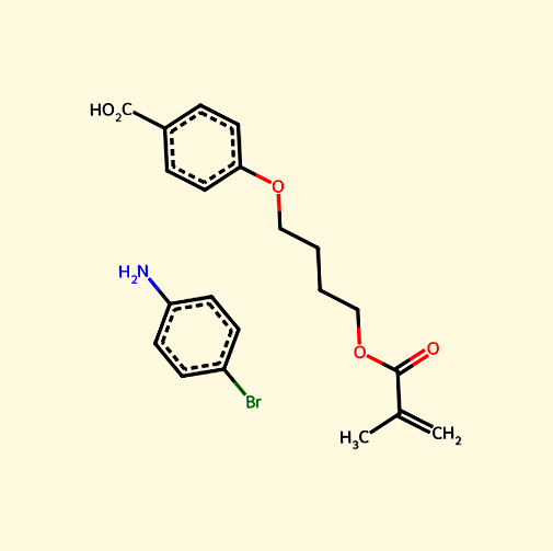 C=C(C)C(=O)OCCCCOc1ccc(C(=O)O)cc1.Nc1ccc(Br)cc1